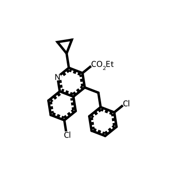 CCOC(=O)c1c(C2CC2)nc2ccc(Cl)cc2c1Cc1ccccc1Cl